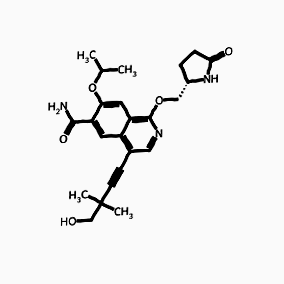 CC(C)Oc1cc2c(OC[C@@H]3CCC(=O)N3)ncc(C#CC(C)(C)CO)c2cc1C(N)=O